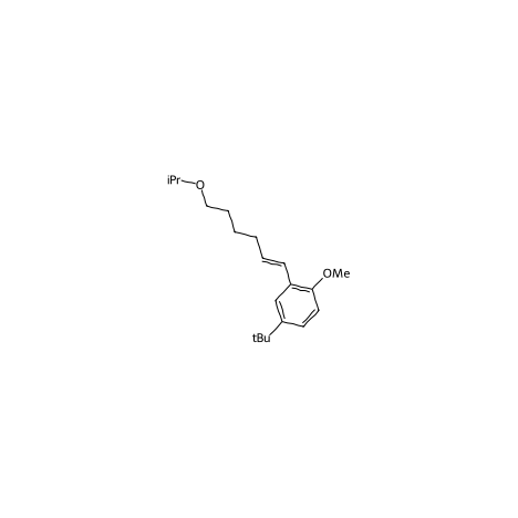 COc1ccc(C(C)(C)C)cc1/C=C/CCCCOC(C)C